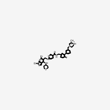 CCc1nc2c(cnn2CC)c(NC2CCOCC2)c1CNc1ccc(C(=O)NCc2ccc(F)c(-c3cccc(CN4CCN[C@@H](C)C4)c3)c2)cn1